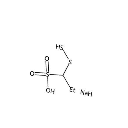 CCC(SS)S(=O)(=O)O.[NaH]